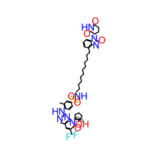 Cc1cc(S(=O)(=O)NCCCCCCCCCCCCc2cccc3c2n(C)c(=O)n3C2CCC(=O)NC2=O)ccc1Nc1ncc2cc(C(F)F)c(=O)n([C@@H]3CCC[C@@]3(C)O)c2n1